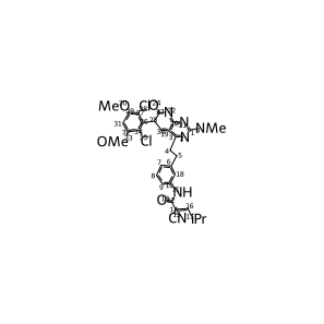 CNc1nc(CCc2cccc(NC(=O)C(C#N)=CC(C)C)c2)c2c(n1)=NC(=O)C(c1c(Cl)c(OC)cc(OC)c1Cl)C=2